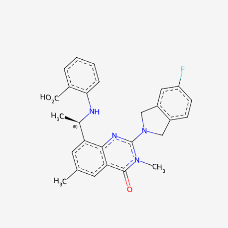 Cc1cc([C@@H](C)Nc2ccccc2C(=O)O)c2nc(N3Cc4ccc(F)cc4C3)n(C)c(=O)c2c1